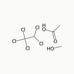 CC(=O)O.CO.ClC(Cl)C(Cl)(Cl)Cl